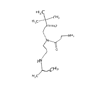 CC(C)NCCN(CC(=O)C(C)(C)C)C(=O)CN